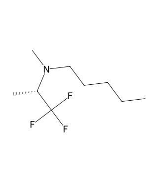 CCCCCN(C)[C@@H](C)C(F)(F)F